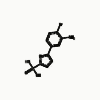 Nc1cc(-c2ccc(P(=O)(O)O)o2)ccc1Br